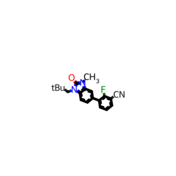 Cn1c(=O)n(CC(C)(C)C)c2ccc(-c3cccc(C#N)c3F)cc21